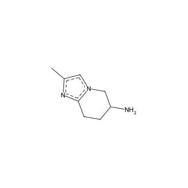 Cc1cn2c(n1)CCC(N)C2